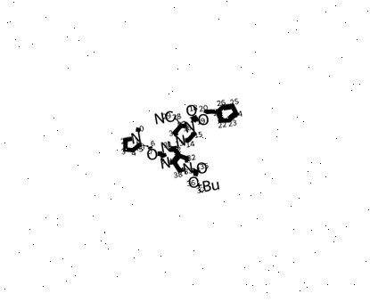 CN1CCC[C@H]1COc1nc2c(c(N3CCN(C(=O)OCc4ccccc4)[C@@H](CC#N)C3)n1)CN(C(=O)OC(C)(C)C)C2